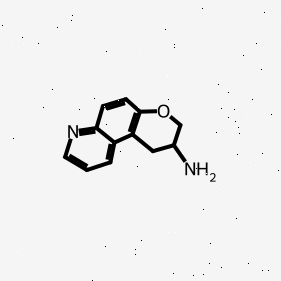 NC1COc2ccc3ncccc3c2C1